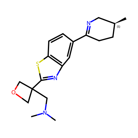 C[C@H]1CCC(c2ccc3sc(C4(CN(C)C)COC4)nc3c2)=NC1